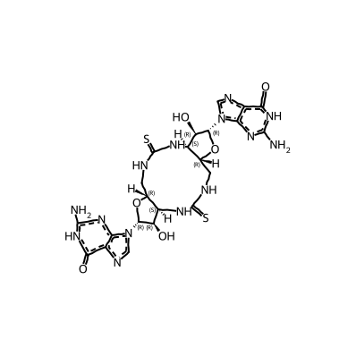 Nc1nc2c(ncn2[C@@H]2O[C@@H]3CNC(=S)N[C@H]4[C@@H](O)[C@H](n5cnc6c(=O)[nH]c(N)nc65)O[C@@H]4CNC(=S)N[C@H]3[C@H]2O)c(=O)[nH]1